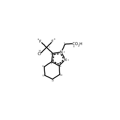 O=C(O)Cn1nc2c(c1C(F)(F)Cl)CCCC2